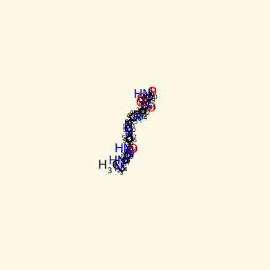 CN1CCC[C@@H]1c1cc2cnc(NC(=O)c3ccc(N4CCN(CC5CCN(c6cc7c(cc6F)C(=O)N(C6CCC(=O)NC6=O)C7=O)CC5)CC4)cc3)cc2[nH]1